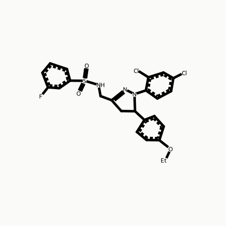 CCOc1ccc(C2CC(CNS(=O)(=O)c3cccc(F)c3)=NN2c2ccc(Cl)cc2Cl)cc1